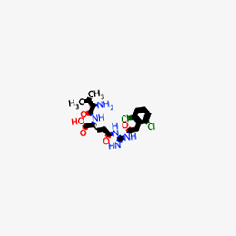 CC(C)[C@@H](N)C(=O)N[C@H](CCC(=O)NC(=N)NC(=O)Cc1c(Cl)cccc1Cl)C(=O)O